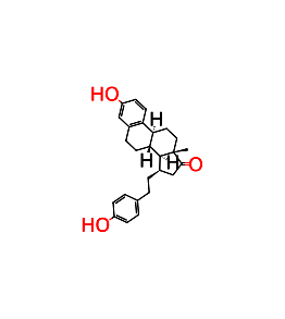 C[C@]12CC[C@@H]3c4ccc(O)cc4CC[C@H]3[C@@H]1[C@H](CCc1ccc(O)cc1)CC2=O